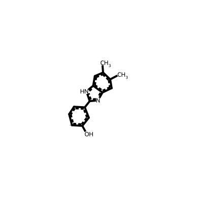 Cc1cc2nc(-c3cc[c]c(O)c3)[nH]c2cc1C